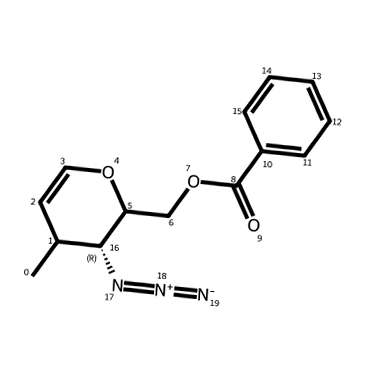 CC1C=COC(COC(=O)c2ccccc2)[C@@H]1N=[N+]=[N-]